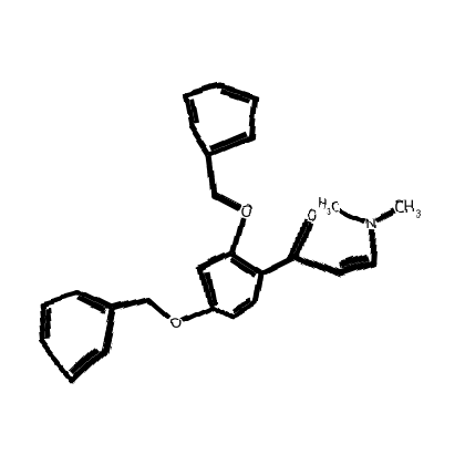 CN(C)/C=C\C(=O)c1ccc(OCc2ccccc2)cc1OCc1ccccc1